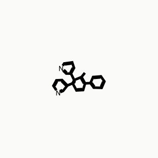 Cc1c(-c2ccccc2)ccc(-c2cccnc2)c1-c1cccnc1